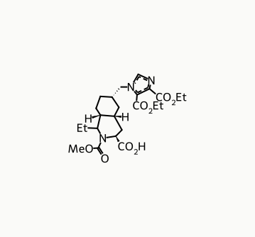 CCOC(=O)c1ncn(C[C@H]2CC[C@H]3C(CC)N(C(=O)OC)[C@H](C(=O)O)C[C@H]3C2)c1C(=O)OCC